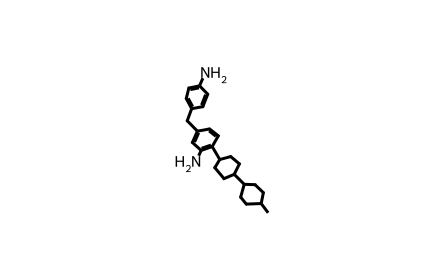 CC1CCC(C2CCC(c3ccc(Cc4ccc(N)cc4)cc3N)CC2)CC1